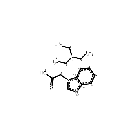 CCN(CC)CC.O=C(O)Cn1cnc2ccccc21